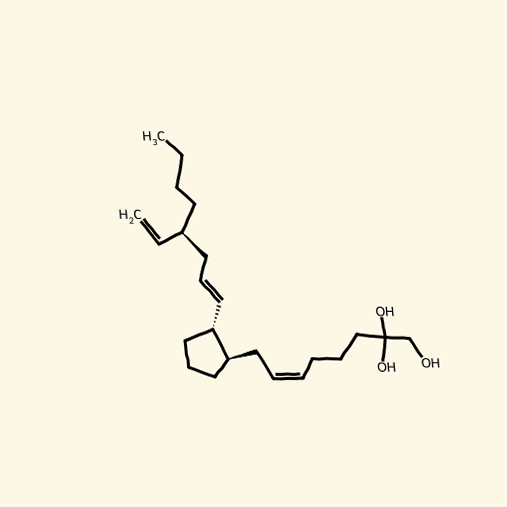 C=C[C@H](C/C=C/[C@H]1CCC[C@@H]1C/C=C\CCCC(O)(O)CO)CCCC